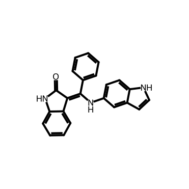 O=C1Nc2ccccc2C1=C(Nc1ccc2[nH]ccc2c1)c1ccccc1